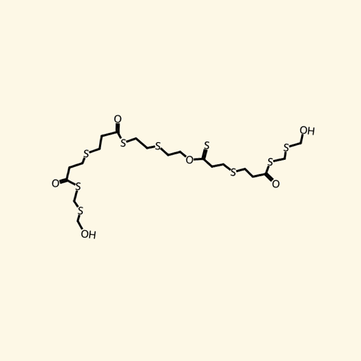 O=C(CCSCCC(=O)SCSCO)SCCSCCOC(=S)CCSCCC(=O)SCSCO